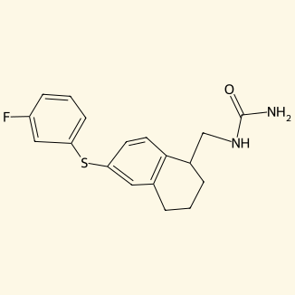 NC(=O)NCC1CCCc2cc(Sc3cccc(F)c3)ccc21